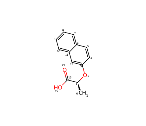 C[C@H](Oc1ccc2ccccc2c1)C(=O)O